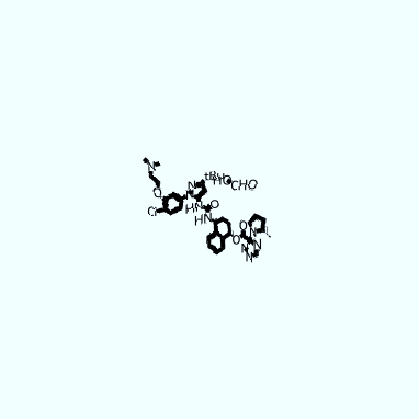 C[C@H]1CCCN1C1(C(=O)O[C@@H]2CC[C@H](NC(=O)Nc3cc(C(C)(C)C)nn3-c3ccc(Cl)c(OCCN(C)C)c3)c3ccccc32)N=CN=N1.O=CO